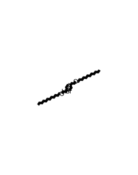 Br.CCCCCCCCCCCCOCCN1CCN(CCOCCCCCCCCCCCC)CC1